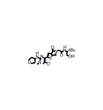 C=N/C(=N\C(=C(/C)Cl)c1cc2c(s1)CN(CC(=O)N[C@H](CO)C(C)(C)C)C2=O)NC1CCOCC1